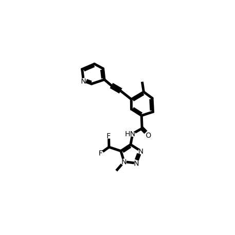 Cc1ccc(C(=O)Nc2nnn(C)c2C(F)F)cc1C#Cc1cccnc1